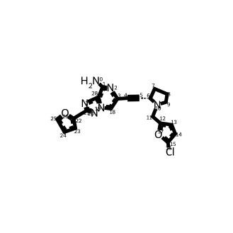 Nc1nc(C#C[C@@H]2CCCN2Cc2ccc(Cl)o2)cn2nc(-c3ccco3)nc12